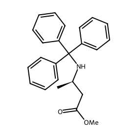 COC(=O)C[C@@H](C)NC(c1ccccc1)(c1ccccc1)c1ccccc1